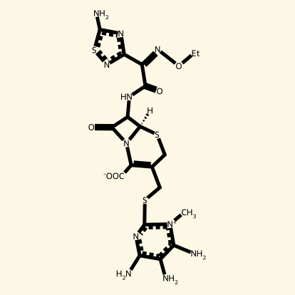 CCO/N=C(\C(=O)NC1C(=O)N2C(C(=O)[O-])=C(CSc3nc(N)c(N)c(N)[n+]3C)CS[C@H]12)c1nsc(N)n1